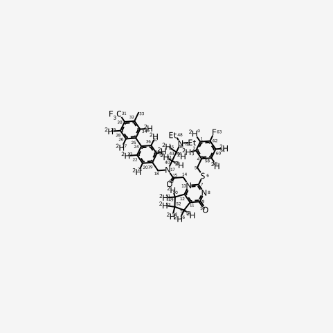 [2H]c1c([2H])c(CSc2nc(=O)c3c(n2CC(=O)N(Cc2c([2H])c([2H])c(-c4c([2H])c([2H])c(C(F)(F)F)c(C)c4[2H])c([2H])c2[2H])C([2H])([2H])C([2H])([2H])N(CC)CC)C([2H])([2H])C([2H])([2H])C3([2H])[2H])c([2H])c([2H])c1F